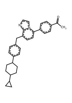 CC(=O)c1ccc(-c2ccc(Cc3ccc(C4CCC(C5CC5)CC4)cc3)c3nccn23)cc1